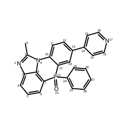 Cc1nc2cccc3c2n1-c1ccc(-c2ccncc2)cc1P3(=O)c1ccccc1